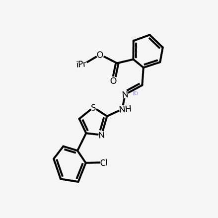 CC(C)OC(=O)c1ccccc1/C=N/Nc1nc(-c2ccccc2Cl)cs1